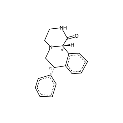 O=C1NCCN2C[C@@H](c3ccccc3)c3ccccc3[C@@H]12